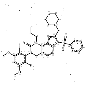 CCCN1C(=O)N(c2c(F)c(OC)cc(OC)c2F)Cc2cnc3c(cc(CN4CCOCC4)n3S(=O)(=O)c3ccccc3)c21